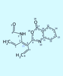 C=C/C(NC=O)=C(\C=C)c1nc2ccccc2c(=O)o1